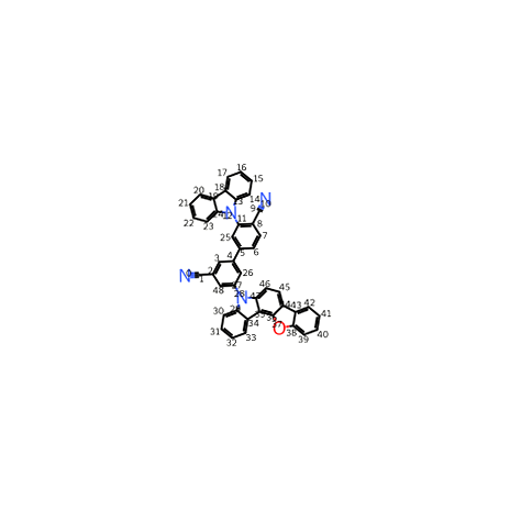 N#Cc1cc(-c2ccc(C#N)c(-n3c4ccccc4c4ccccc43)c2)cc(-n2c3ccccc3c3c4oc5ccccc5c4ccc32)c1